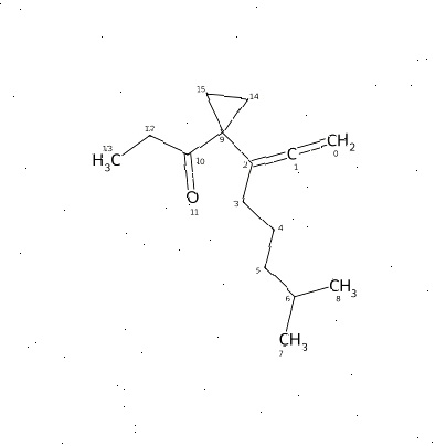 C=C=C(CCCC(C)C)C1(C(=O)CC)CC1